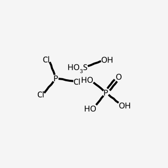 ClP(Cl)Cl.O=P(O)(O)O.O=S(=O)(O)O